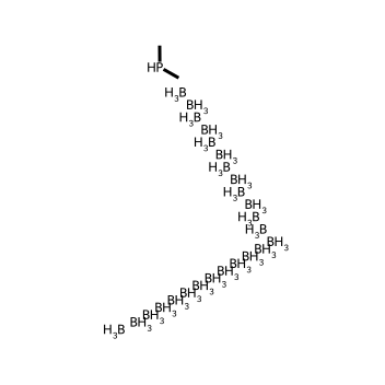 B.B.B.B.B.B.B.B.B.B.B.B.B.B.B.B.B.B.B.B.B.B.B.B.B.CPC